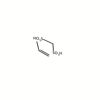 C=CC.O=S(=O)(O)CS(=O)(=O)O